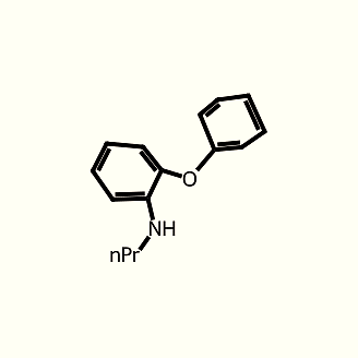 CCCNc1ccccc1Oc1ccccc1